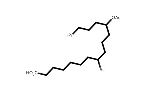 CC(=O)OC(CCCC(C)C)CCCC(CCCCCCC(=O)O)C(C)=O